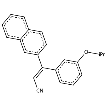 CC(C)Oc1cccc(C(=CC#N)c2ccc3ccccc3c2)c1